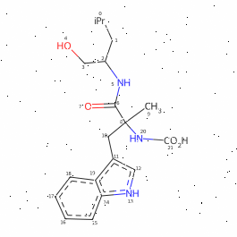 CC(C)CC(CO)NC(=O)C(C)(Cc1c[nH]c2ccccc12)NC(=O)O